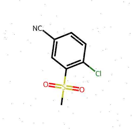 CS(=O)(=O)c1cc(C#N)ccc1Cl